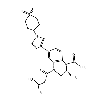 CC(=O)N1c2ccc(-c3cnn(C4CCS(=O)(=O)CC4)c3)cc2N(C(=O)OC(C)C)C[C@@H]1C